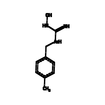 Cc1ccc(C[AsH]C(=N)NO)cc1